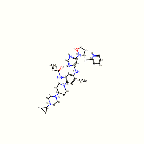 C=CC(=O)Nc1cc(Nc2cc(N3OCC[C@@H]3Cc3ccccn3)ncn2)c(OC)cc1N1CCC(N2CCN(C3CC3)CC2)CC1